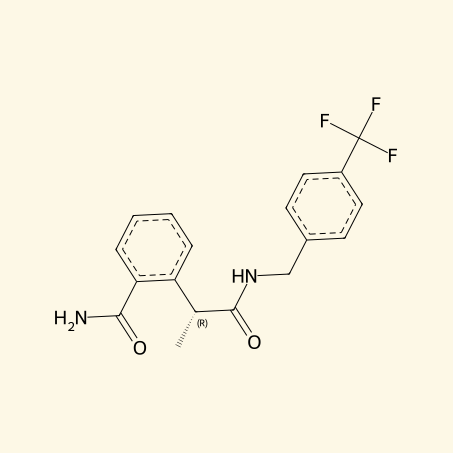 C[C@@H](C(=O)NCc1ccc(C(F)(F)F)cc1)c1ccccc1C(N)=O